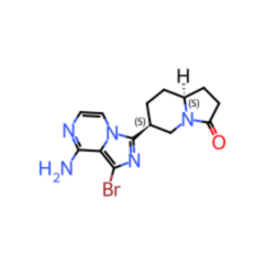 Nc1nccn2c([C@H]3CC[C@H]4CCC(=O)N4C3)nc(Br)c12